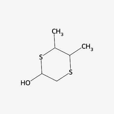 CC1SCC(O)SC1C